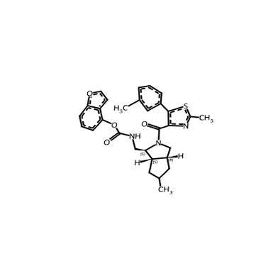 Cc1cccc(-c2sc(C)nc2C(=O)N2C[C@@H]3CC(C)C[C@@H]3[C@H]2CNC(=O)Oc2cccc3occc23)c1